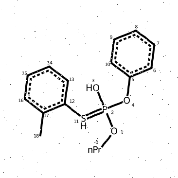 CCCOP(O)(Oc1ccccc1)=[SH]c1ccccc1C